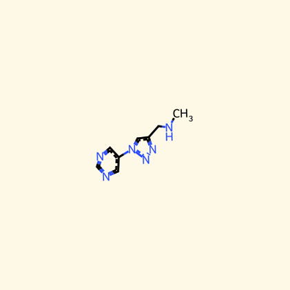 CNCc1cn(-c2cncnc2)nn1